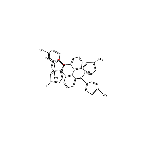 N#Cc1cc(C(F)(F)F)ccc1-c1cccc(-n2c3ccc(C(F)(F)F)cc3c3cc(C(F)(F)F)ccc32)c1-c1c(C#N)cccc1-n1c2ccc(C(F)(F)F)cc2c2cc(C(F)(F)F)ccc21